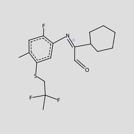 Cc1cc(F)c(/N=C(\C=O)C2CCCCC2)cc1SCC(C)(F)F